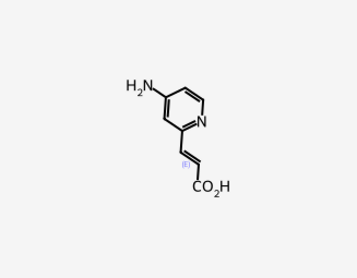 Nc1ccnc(/C=C/C(=O)O)c1